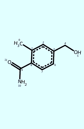 Cc1cc(CO)ccc1C(N)=O